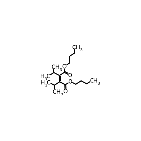 CCCCOC(=O)C(=C(C(=O)OCCCC)C(C)C)C(C)C